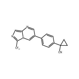 N#CC1(c2ccc(-c3cnc4cnc(C(F)(F)F)n4c3)cc2)CC1